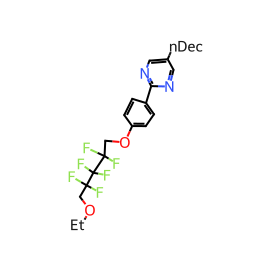 CCCCCCCCCCc1cnc(-c2ccc(OCC(F)(F)C(F)(F)C(F)(F)COCC)cc2)nc1